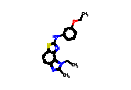 CCOc1cccc(Nc2nc3c(ccc4nc(C)n(CC)c43)s2)c1